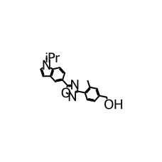 Cc1cc(CO)ccc1-c1noc(-c2ccc3c(ccn3C(C)C)c2)n1